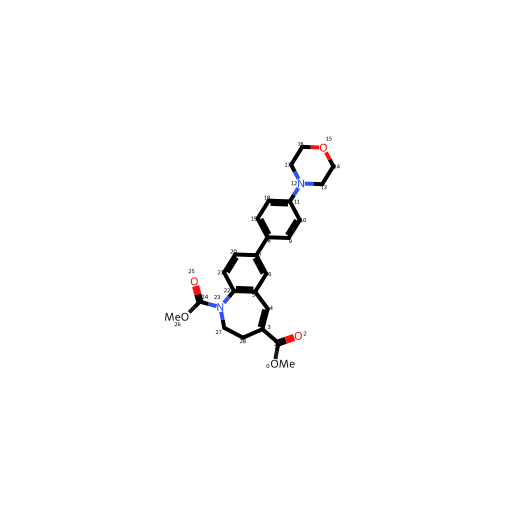 COC(=O)C1=Cc2cc(-c3ccc(N4CCOCC4)cc3)ccc2N(C(=O)OC)CC1